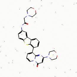 O=C(CN1CCOCC1)Nc1ccc2sc3c(-c4cccn5c(=O)cc(N6CCOCC6)nc45)cccc3c2c1